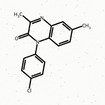 Cc1ccc2c(c1)nc(C)c(=O)n2-c1ccc(Cl)cc1